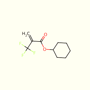 C=C(C(=O)OC1CCCCC1)C(F)(F)F